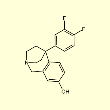 Oc1ccc2c(c1)CN1CCC2(c2ccc(F)c(F)c2)CC1